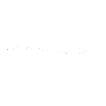 CCCCCCCCCCCCCCCCCCNCCOP(=O)(OCC)ON(C)C